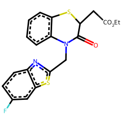 CCOC(=O)CC1Sc2ccccc2N(Cc2nc3ccc(F)cc3s2)C1=O